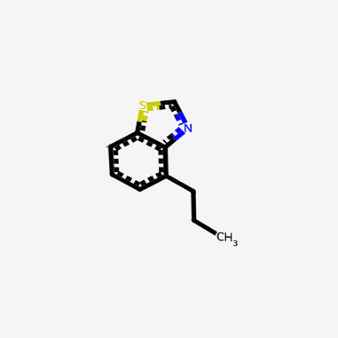 CCCc1cc[c]c2scnc12